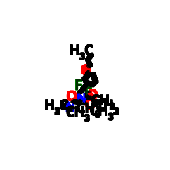 CCCCOc1cccc(C(F)(F)CN(C(=O)OC(C)(C)C)C(C)C(=O)N(C)C)c1